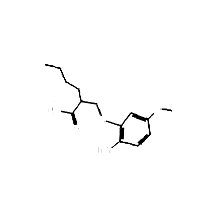 CCCCC(CSc1cc(OC)ccc1N)C(=O)O